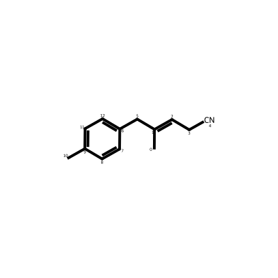 C/C(=C\CC#N)Cc1ccc(C)cc1